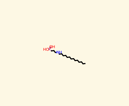 CCCCCCCCCCCCCCNCCCP(O)O